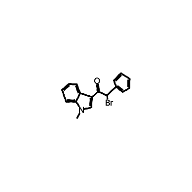 Cn1cc(C(=O)C(Br)c2ccccc2)c2ccccc21